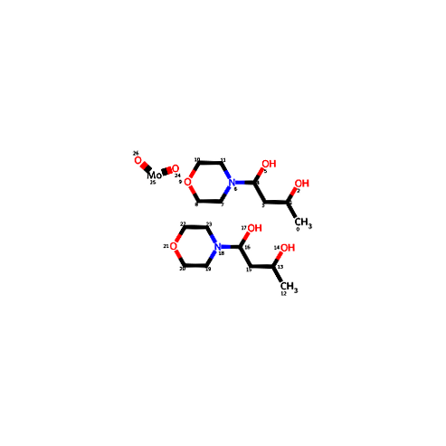 CC(O)CC(O)N1CCOCC1.CC(O)CC(O)N1CCOCC1.[O]=[Mo]=[O]